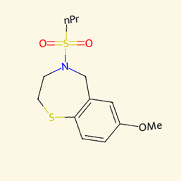 CCCS(=O)(=O)N1CCSc2ccc(OC)cc2C1